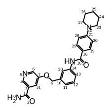 NC(=O)c1cncc(OCc2cccc(NC(=O)c3ccc(N4CCCCC4)cc3)c2)c1